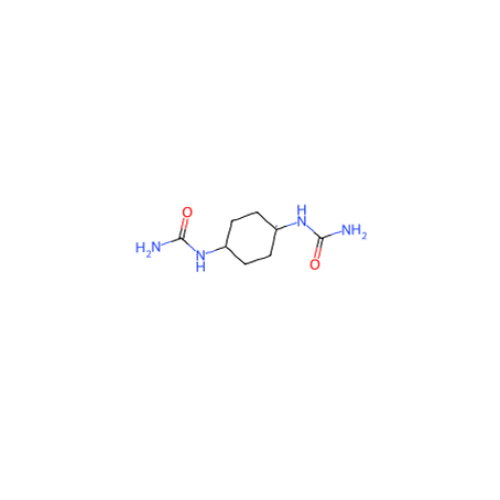 NC(=O)N[C]1CCC(NC(N)=O)CC1